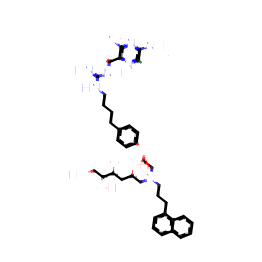 N=C(NCCCCc1ccc(OCCN(CCCc2cccc3ccccc23)C[C@H](O)C[C@H](O)[C@H](O)CO)cc1)NC(=O)c1nc(Cl)c(N)nc1N